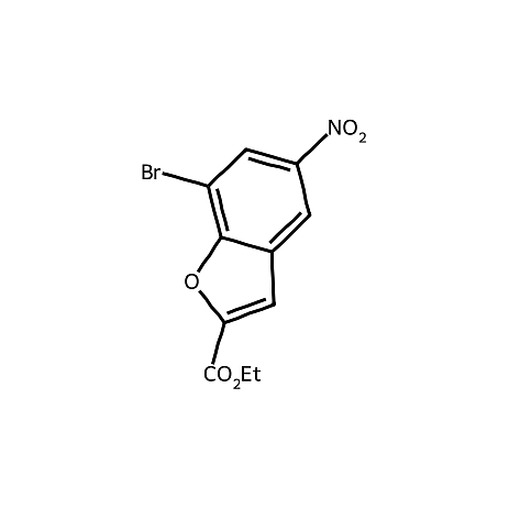 CCOC(=O)c1cc2cc([N+](=O)[O-])cc(Br)c2o1